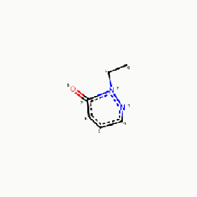 CCn1ncccc1=O